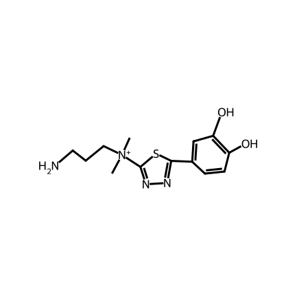 C[N+](C)(CCCN)c1nnc(-c2ccc(O)c(O)c2)s1